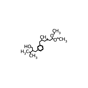 CCOC(CCCC(C)Cc1cccc(CC(CO)C(C)C)c1)OCC